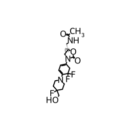 CC(=O)NC[C@H]1CN(C2=CC=C(N3CCC(F)(CO)CC3)C(F)(F)C2)C(=O)O1